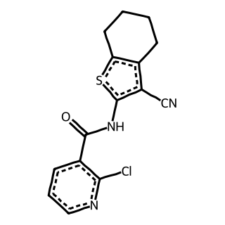 N#Cc1c(NC(=O)c2cccnc2Cl)sc2c1CCCC2